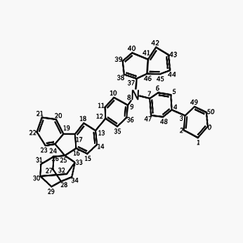 c1ccc(-c2ccc(N(c3ccc(-c4ccc5c(c4)-c4ccccc4C54C5CC6CC(C5)CC4C6)cc3)c3cccc4ccccc34)cc2)cc1